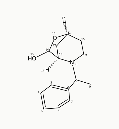 CC(c1ccccc1)N1CC[C@H]2C[C@@H]1C(O)O2